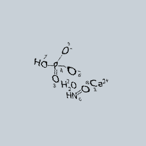 N=O.O.O=P([O-])([O-])O.[Ca+2]